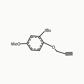 C#CCOc1ccc(OC)cc1C(C)(C)C